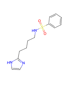 O=S(=O)(NCCCCc1ncc[nH]1)c1ccccc1